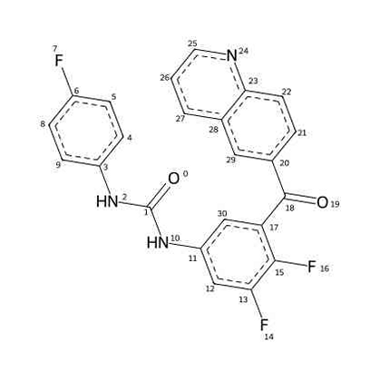 O=C(Nc1ccc(F)cc1)Nc1cc(F)c(F)c(C(=O)c2ccc3ncccc3c2)c1